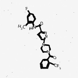 Cc1cc(F)ccc1NC(=O)c1ccc(N2CCN(C(=O)c3ccccc3C(F)(F)F)CC2)nn1